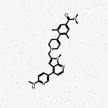 CNc1ccc(-c2ccnc3c2cc(CN2CC=C(c4c(C)cc(C(=O)N(C)C)cc4C)CC2)n3C)cn1